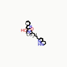 O=C(O)C[C@](O)(c1cnc2ccccc2c1)N1CC(CCCCc2ccc3c(n2)NCCC3)C1=O